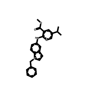 COC(=O)c1cc(C(C)C)cnc1Nc1ccc2c(ccn2Cc2ccccc2)c1